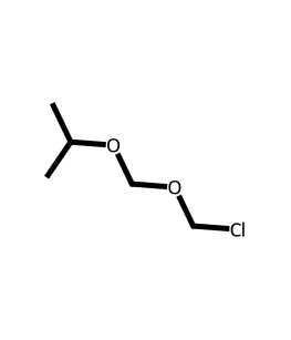 CC(C)OCOCCl